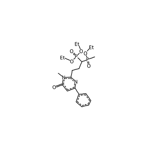 CCOP(C)(=O)C(CCc1nc(-c2ccccc2)cc(=O)n1C)P(=O)(OCC)OCC